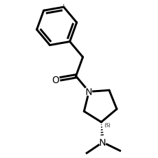 CN(C)[C@H]1CCN(C(=O)Cc2c[c]ccc2)C1